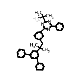 CC(C)(C)c1nc(-c2ccccc2)nc(-c2cccc(CC(C)(C)c3cc(-c4ccccc4)cc(-c4ccccc4)c3)c2)n1